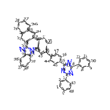 c1ccc(-c2nc(-c3ccccc3)nc(-c3ccc(-c4ccc5c6cc7ccccc7cc6c6nc7ccccc7n6c5c4)cc3)n2)cc1